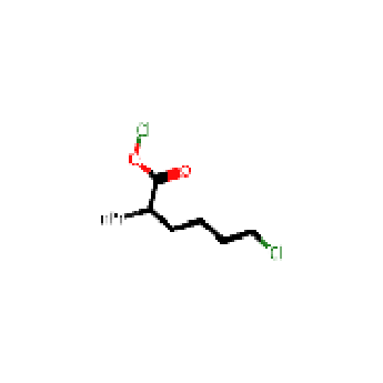 CCCC(CCCCCl)C(=O)OCl